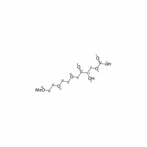 CCCC(=O)OCC(O)C(=O)COCCOCCOC